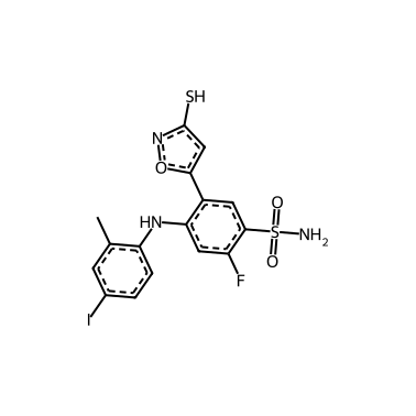 Cc1cc(I)ccc1Nc1cc(F)c(S(N)(=O)=O)cc1-c1cc(S)no1